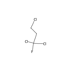 FC(Cl)(Cl)CCCl